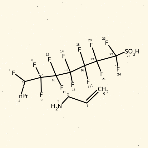 C=CCN.CCCC(F)C(F)(F)C(F)(F)C(F)(F)C(F)(F)C(F)(F)C(F)(F)S(=O)(=O)O